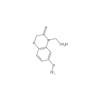 CCOC(=O)CN1C(=O)COc2ccc(OC(F)(F)F)cc21